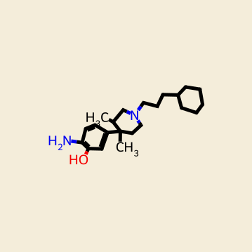 CC1CN(CCCC2CCCCC2)CCC1(C)c1ccc(N)c(O)c1